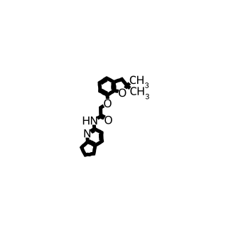 CC1(C)Cc2cccc(OCC(=O)Nc3ccc4c(n3)CCC4)c2O1